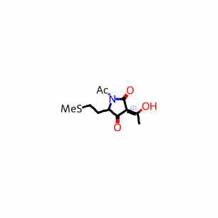 CSCCC1C(=O)/C(=C(\C)O)C(=O)N1C(C)=O